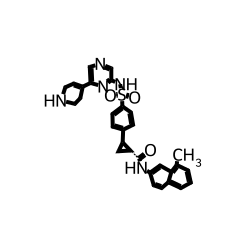 Cc1cccc2ccc(NC(=O)[C@@H]3CC3c3ccc(S(=O)(=O)Nc4cncc(C5=CCNCC5)n4)cc3)cc12